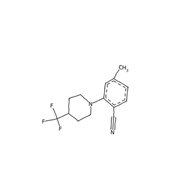 Cc1ccc(C#N)c(N2CCC(C(F)(F)F)CC2)c1